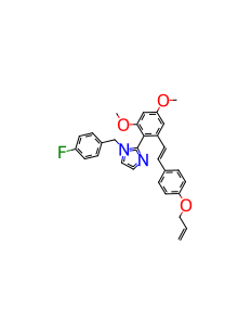 C=CCOc1ccc(C=Cc2cc(OC)cc(OC)c2-c2nccn2Cc2ccc(F)cc2)cc1